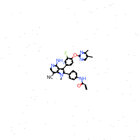 C=CC(=O)Nc1ccc(-c2c(-c3ccc(Oc4ncc(C)c(C)n4)c(F)c3)c3c(N)ncc(C#N)c3n2C)cc1